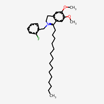 CCCCCCCCCCCCCCCC1=[N+](Cc2ccccc2F)CCc2cc(OC)c(OC)cc21